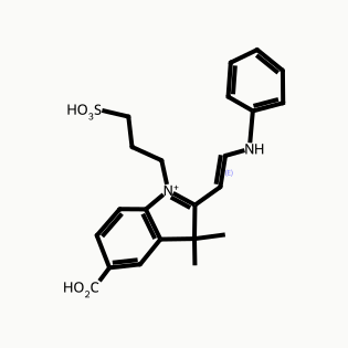 CC1(C)C(/C=C/Nc2ccccc2)=[N+](CCCS(=O)(=O)O)c2ccc(C(=O)O)cc21